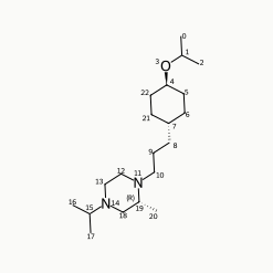 CC(C)O[C@H]1CC[C@H](CCCN2CCN(C(C)C)C[C@H]2C)CC1